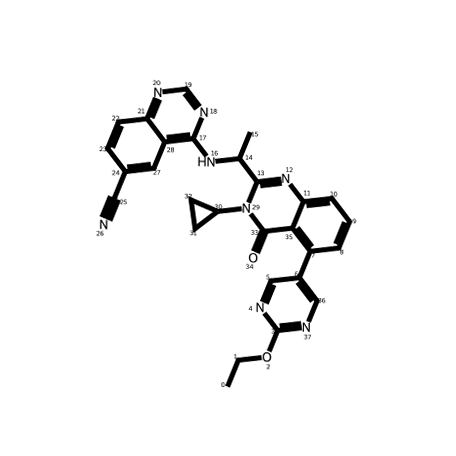 CCOc1ncc(-c2cccc3nc(C(C)Nc4ncnc5ccc(C#N)cc45)n(C4CC4)c(=O)c23)cn1